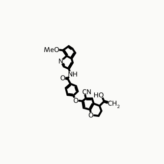 C=C(O)C1CCOc2cc(Oc3ccc(C(=O)Nc4cnc5c(OC)cccc5c4)cc3)c(C#N)cc21